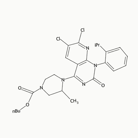 CCCCOC(=O)N1CCN(c2nc(=O)n(-c3ccccc3C(C)C)c3nc(Cl)c(Cl)cc23)C(C)C1